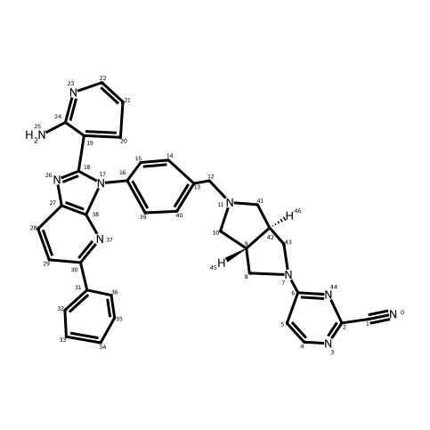 N#Cc1nccc(N2C[C@@H]3CN(Cc4ccc(-n5c(-c6cccnc6N)nc6ccc(-c7ccccc7)nc65)cc4)C[C@H]3C2)n1